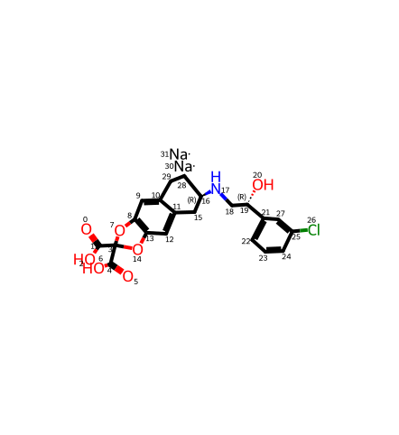 O=C(O)C1(C(=O)O)Oc2cc3c(cc2O1)C[C@H](NC[C@H](O)c1cccc(Cl)c1)CC3.[Na].[Na]